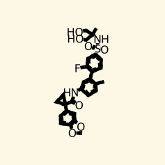 Cc1ccc(NC(=O)C2(c3ccc4c(c3)OCO4)CC2)cc1-c1ccc(S(=O)(=O)NC(C)(CO)CO)cc1F